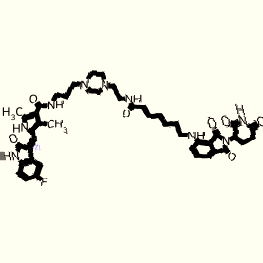 Cc1[nH]c(/C=C2\C(=O)Nc3ccc(F)cc32)c(C)c1C(=O)NCCCN1CCN(CCNC(=O)CCCCCCNc2cccc3c2C(=O)N(C2CCC(=O)NC2=O)C3=O)CC1